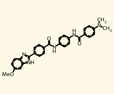 COc1ccc2nc(-c3ccc(C(=O)Nc4ccc(NC(=O)c5ccc(N(C)C)cc5)cc4)cc3)[nH]c2c1